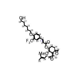 CO[C@@H]1[C@H](OC(=O)/C=C/c2ccc(OCCCCCCO)c(C(F)(F)F)c2)CC[C@]2(CO2)[C@H]1[C@@]1(C)O[C@@H]1CC=C(C)C